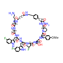 COc1ccc(C[C@@H]2NC(=O)[C@H]([C@@H](C)O)NC(=O)[C@@H]3C[C@H](F)CN3C(=O)[C@H](Cc3c[nH]c4ccc(F)cc34)NC(=O)[C@H](Cc3c[nH]c4ccc(F)cc34)NC(=O)[C@@H](C)NC(=O)[C@H](CCCCN)NC(=O)CCC(=O)NCc3ccc(cc3)C[C@@H](C(N)=O)NC(=O)[C@]3(C)CCCN3C2=O)cc1